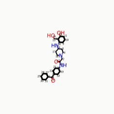 O=C(CN1CCC(Nc2cccc(O)c2CO)CC1)Nc1ccc(C(=O)c2ccccc2)cc1